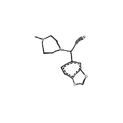 CN1CCN(C(C#N)c2ccc3c(c2)OCO3)CC1